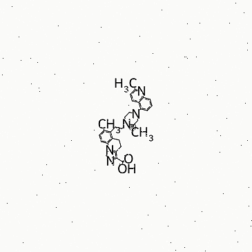 Cc1ccc2c(N3CCN(CCc4c(C)ccc5c4CCc4c(C(=O)O)ncn4-5)[C@H](C)C3)cccc2n1